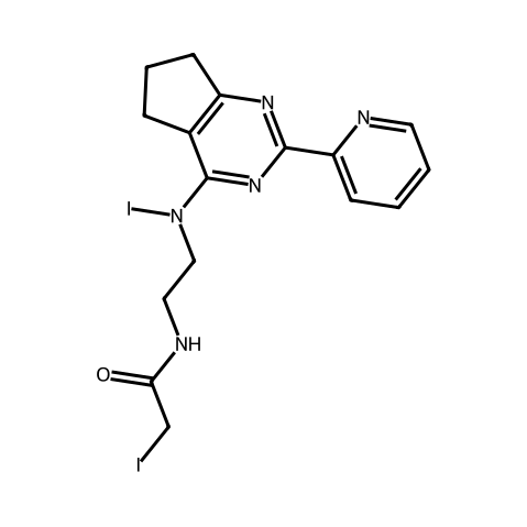 O=C(CI)NCCN(I)c1nc(-c2ccccn2)nc2c1CCC2